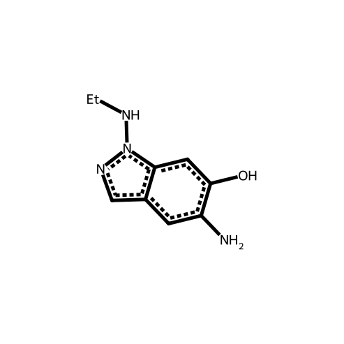 CCNn1ncc2cc(N)c(O)cc21